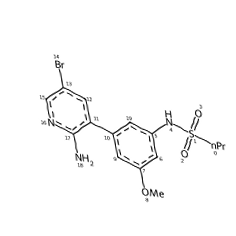 CCCS(=O)(=O)Nc1cc(OC)cc(-c2cc(Br)cnc2N)c1